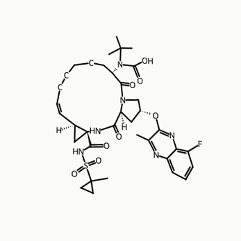 Cc1nc2cccc(F)c2nc1O[C@@H]1C[C@H]2C(=O)N[C@]3(C(=O)NS(=O)(=O)C4(C)CC4)C[C@H]3C=CCCCCC[C@H](N(C(=O)O)C(C)(C)C)C(=O)N2C1